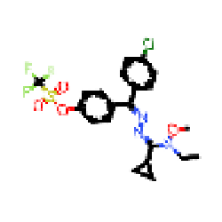 CCN(OC)C(=NN=C(c1ccc(Cl)cc1)c1ccc(OS(=O)(=O)C(F)(F)F)cc1)C1CC1